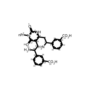 CCCn1c(=O)[nH]c(CC(N)c2cccc(C(=O)O)c2)c(CC(N)c2cccc(C(=O)O)c2)c1=O